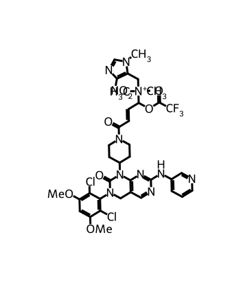 COc1cc(OC)c(Cl)c(N2Cc3cnc(Nc4cccnc4)nc3N(C3CCN(C(=O)/C=C/C(OC(=O)C(F)(F)F)[N+](C)(C)Cc4c([N+](=O)[O-])ncn4C)CC3)C2=O)c1Cl